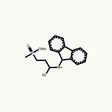 COP(C)(=O)CCC(C#N)NC1c2ccccc2-c2ccccc21